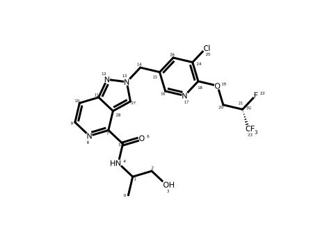 CC(CO)NC(=O)c1nccc2nn(Cc3cnc(OC[C@H](F)C(F)(F)F)c(Cl)c3)cc12